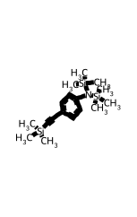 C[Si](C)(C)C#Cc1ccc(N([Si](C)(C)C)[Si](C)(C)C)cc1